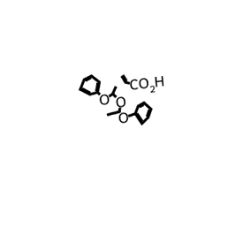 C=CC(=O)O.CC(Oc1ccccc1)OC(C)Oc1ccccc1